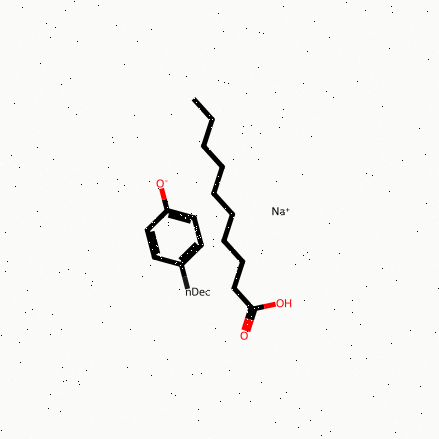 CCCCCCCCCC(=O)O.CCCCCCCCCCc1ccc([O-])cc1.[Na+]